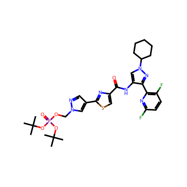 CC(C)(C)OP(=O)(OCn1cc(-c2nc(C(=O)Nc3cn(C4CCCCC4)nc3-c3nc(F)ccc3F)cs2)cn1)OC(C)(C)C